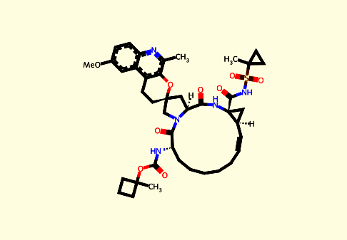 COc1ccc2nc(C)c3c(c2c1)CC[C@]1(C[C@H]2C(=O)N[C@]4(C(=O)NS(=O)(=O)C5(C)CC5)C[C@H]4/C=C\CCCCC[C@H](NC(=O)OC4(C)CCC4)C(=O)N2C1)O3